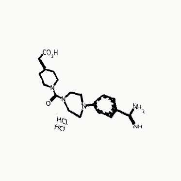 Cl.Cl.N=C(N)c1ccc(N2CCN(C(=O)N3CCC(=CC(=O)O)CC3)CC2)cc1